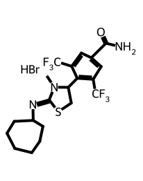 Br.CN1C(=NC2CCCCCC2)SCC1c1c(C(F)(F)F)cc(C(N)=O)cc1C(F)(F)F